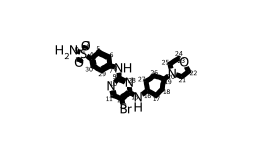 NS(=O)(=O)c1ccc(Nc2ncc(Br)c(NC3CCC(N4CCOCC4)CC3)n2)cc1